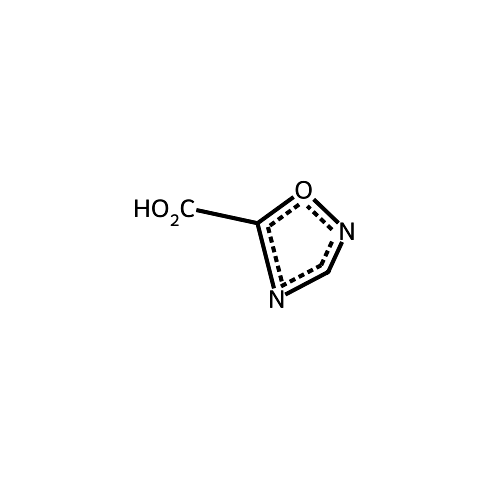 O=C(O)c1ncno1